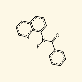 O=C(c1ccccc1)N(F)c1cccc2cccnc12